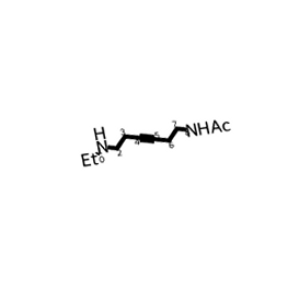 CCNCCC#CCCNC(C)=O